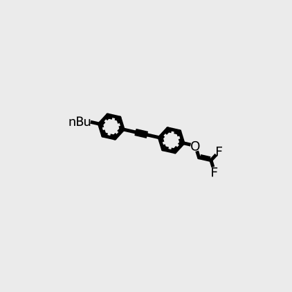 CCCCc1ccc(C#Cc2ccc(OC=C(F)F)cc2)cc1